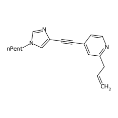 C=CCc1cc(C#Cc2cn(CCCCC)cn2)ccn1